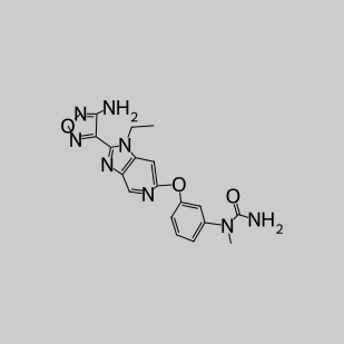 CCn1c(-c2nonc2N)nc2cnc(Oc3cccc(N(C)C(N)=O)c3)cc21